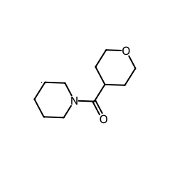 O=C(C1CCOCC1)N1C[CH]CCC1